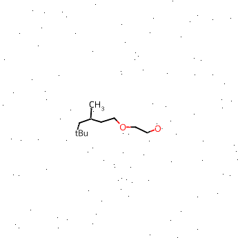 CC(CCOCC[O])CC(C)(C)C